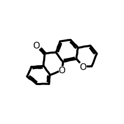 O=c1c2ccccc2oc2c3c(ccc12)C=CCO3